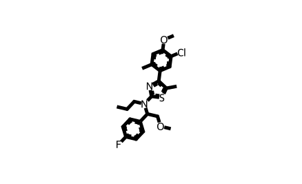 CCCN(c1nc(-c2cc(Cl)c(OC)cc2C)c(C)s1)C(COC)c1ccc(F)cc1